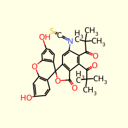 CC(C)(C)C(=O)c1c(N=C=S)cc2c(c1C(=O)C(C)(C)C)C(=O)OC21c2ccc(O)cc2Oc2cc(O)ccc21